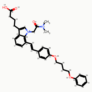 CN(C)C(=O)Cn1cc(CCCC(=O)O)c2cccc(C=Cc3ccc(OCCCCOc4ccccc4)cc3)c21